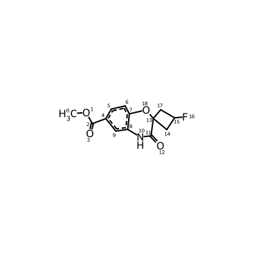 COC(=O)c1ccc2c(c1)NC(=O)C1(CC(F)C1)O2